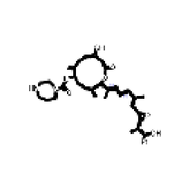 C=C1CCC(O)CC(=O)OC(/C(C)=C/C=C/C(C)CC2OC2C(C)C(O)CC)C(C)CCC1OC(=O)N1CCCNCC1